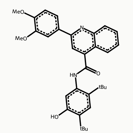 COc1ccc(-c2cc(C(=O)Nc3cc(O)c(C(C)(C)C)cc3C(C)(C)C)c3ccccc3n2)cc1OC